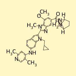 COc1cc(C(=O)N2C[C@H]3CC[C@@H]2[C@@H]3N)cc2nc(-c3cc4ccc(Nc5cc(C)ncc5C)cc4n3CC3CC3)n(C)c12